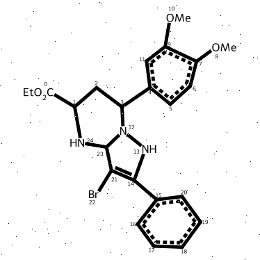 CCOC(=O)C1CC(c2ccc(OC)c(OC)c2)N2NC(c3ccccc3)=C(Br)C2N1